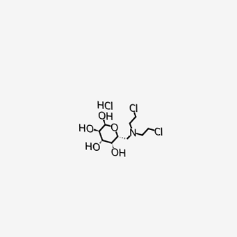 Cl.O[C@@H]1[C@@H](O)[C@@H](O)O[C@H](CN(CCCl)CCCl)[C@@H]1O